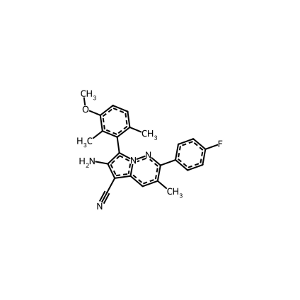 COc1ccc(C)c(-c2c(N)c(C#N)c3cc(C)c(-c4ccc(F)cc4)nn23)c1C